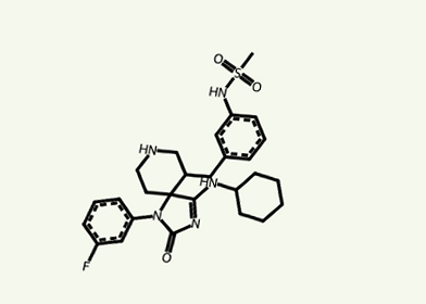 CS(=O)(=O)Nc1cccc(CC2CNCCC23C(NC2CCCCC2)=NC(=O)N3c2cccc(F)c2)c1